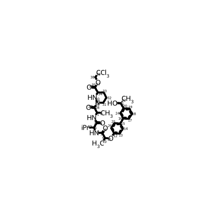 CC(NC(=O)C(NC(=O)C(C)Oc1ccc(-c2cccc([C@@H](C)O)c2)cc1)C(C)C)C(=O)N1CCCC(C(=O)OCC(Cl)(Cl)Cl)N1